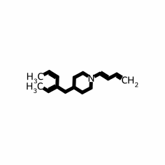 C=C/C=C/N1CCC(CC(/C=C\C)=C/C)CC1